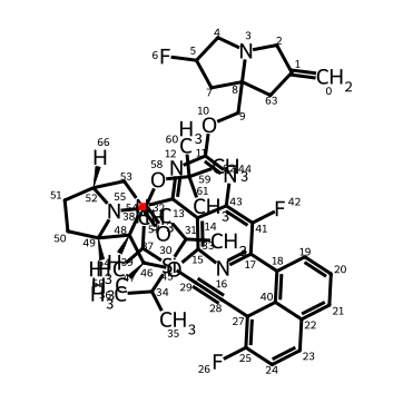 C=C1CN2CC(F)CC2(COc2nc3c4c(nc(-c5cccc6ccc(F)c(C#C[Si](C(C)C)(C(C)C)C(C)C)c56)c(F)c4n2)O[C@@H](C)[C@@H]2[C@@H]4CC[C@H](CN32)N4C(=O)OC(C)(C)C)C1